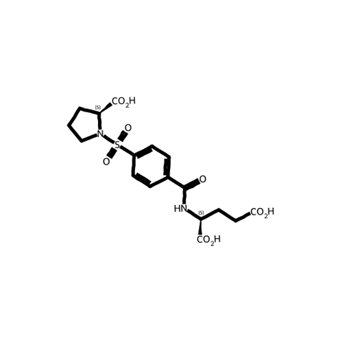 O=C(O)CC[C@H](NC(=O)c1ccc(S(=O)(=O)N2CCC[C@H]2C(=O)O)cc1)C(=O)O